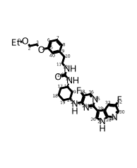 CCOCCOc1cccc(CCNC(=O)N[C@@H]2CCC[C@H](Nc3nc(-c4c[nH]c5ncc(F)cc45)ncc3F)C2)c1